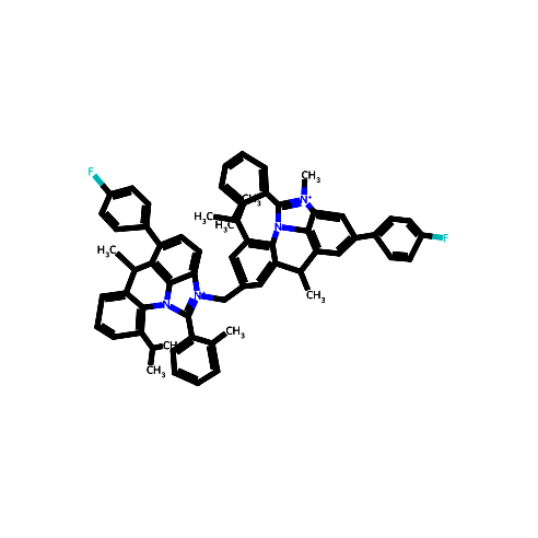 Cc1ccccc1-c1n2c3c(cc(-c4ccc(F)cc4)cc3[n+]1C)C(C)c1cc(C[n+]3c(-c4ccccc4C)n4c5c(c(-c6ccc(F)cc6)ccc53)C(C)c3cccc(C(C)C)c3-4)cc(C(C)C)c1-2